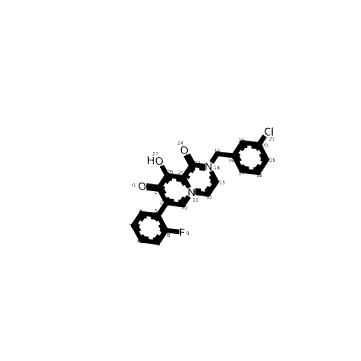 O=c1c(-c2ccccc2F)cn2ccn(Cc3cccc(Cl)c3)c(=O)c2c1O